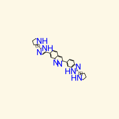 c1cc2nc([C@@H]3CCCN3)[nH]c2cc1-c1cc2ccc(-c3cnc([C@@H]4CCCN4)[nH]3)cc2nn1